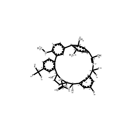 COc1ncc2cc1-c1ccc(C(F)(F)F)cc1[C@@H]1CC[C@H]3[C@H](OC(=O)N13)c1cc(F)cc(c1)C(F)(F)/P=C(/O)c1cc(C)c-2c(C)c1